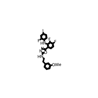 COc1cccc(CCNc2nnc(-c3ccc(F)c(F)c3Nc3ccc(I)cc3F)o2)c1